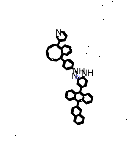 N=C1C=CC(c2c3ccccc3c(-c3ccc4ccccc4c3)c3ccccc23)=C/C1=N/Nc1ccc(-c2ccccccc(-c3cccnc3)c3ccccc23)cc1